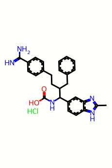 Cc1nc2cc(C(NC(=O)O)C(CCc3ccc(C(=N)N)cc3)Cc3ccccc3)ccc2[nH]1.Cl